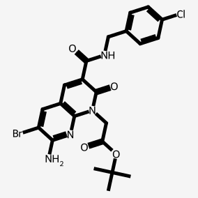 CC(C)(C)OC(=O)Cn1c(=O)c(C(=O)NCc2ccc(Cl)cc2)cc2cc(Br)c(N)nc21